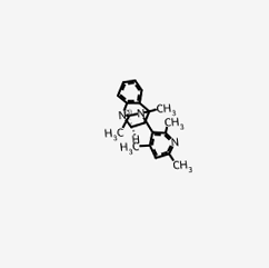 Cc1cc(C)c(N2[C@@H](C)N3CCC2(C)c2ccccc23)c(C)n1